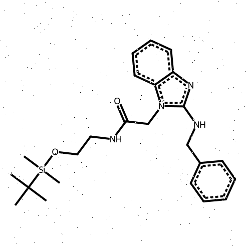 CC(C)(C)[Si](C)(C)OCCNC(=O)Cn1c(NCc2ccccc2)nc2ccccc21